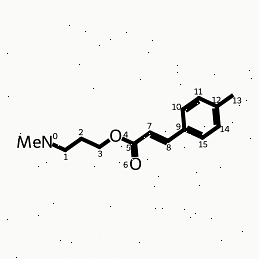 CNCCCOC(=O)/C=C/c1ccc(C)cc1